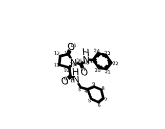 O=C(NCC1CCCCC1)C1CCC(=O)N1C(=O)Nc1ccccc1